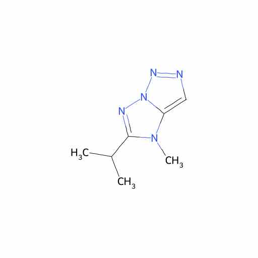 CC(C)c1nn2nncc2n1C